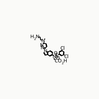 CN(CCN)c1ccc(-n2ccc3cc(N(CC(=O)O)S(=O)(=O)c4cc(Cl)cc(Cl)c4)ccc32)nn1